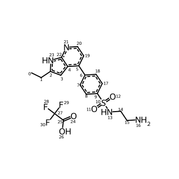 CCc1cc2c(-c3ccc(S(=O)(=O)NCCN)cc3)ccnc2[nH]1.O=C(O)C(F)(F)F